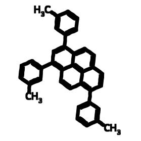 Cc1cccc(-c2ccc3ccc4c(-c5cccc(C)c5)cc(-c5cccc(C)c5)c5ccc2c3c45)c1